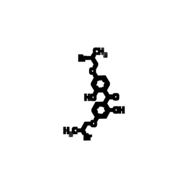 CC(Br)COc1ccc(C(=O)c2ccc(OCC(C)Br)cc2O)c(O)c1